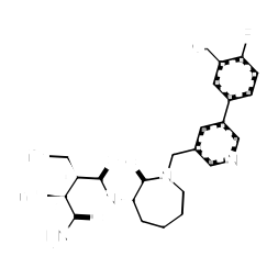 CCC[C@H](C(N)=O)[C@@H](CC(C)C)C(=O)N[C@H]1CCCCN(Cc2cncc(-c3ccc(F)c(Cl)c3)c2)C1=O